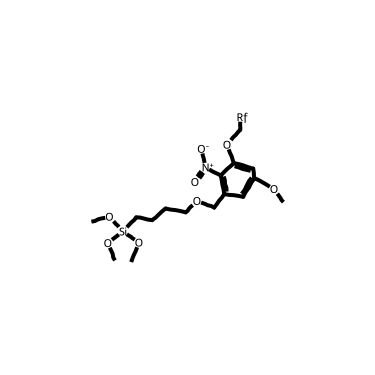 COc1cc(COCCCC[Si](OC)(OC)OC)c([N+](=O)[O-])c(O[CH2][Rf])c1